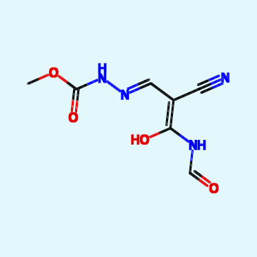 COC(=O)NN=CC(C#N)=C(O)NC=O